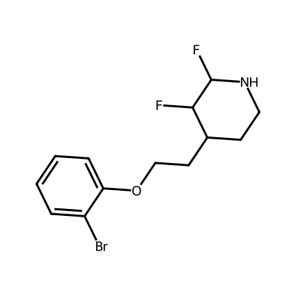 FC1NCCC(CCOc2ccccc2Br)C1F